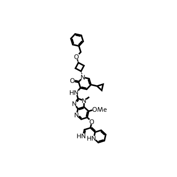 COc1c(O/C(C=N)=C2\C=CC=CN2)cnc2nc(Nc3cc(C4CC4)cn([C@H]4C[C@H](OCc5ccccc5)C4)c3=O)n(C)c12